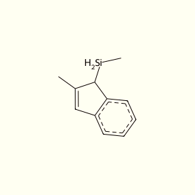 C[SiH2]C1C(C)=Cc2ccccc21